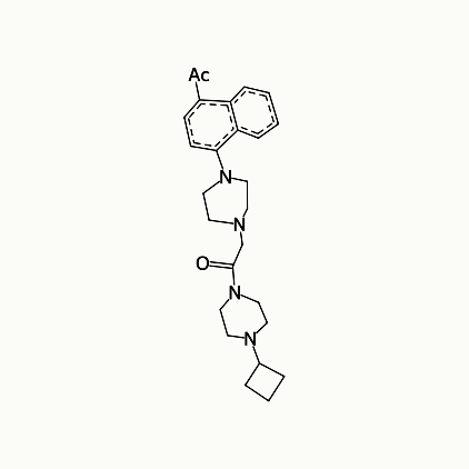 CC(=O)c1ccc(N2CCN(CC(=O)N3CCN(C4CCC4)CC3)CC2)c2ccccc12